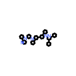 c1ccc(-c2cc(-c3ccccc3)nc(-n3c4ccccc4c4cc(-c5ccc6c(c5)c5ccccc5n6-c5cccc(-n6c7ccccc7c7ncccc76)c5)ccc43)c2)cc1